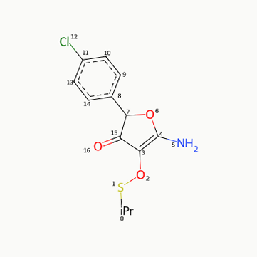 CC(C)SOC1=C(N)OC(c2ccc(Cl)cc2)C1=O